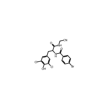 N#CCNC(=O)C(Cc1cc(Cl)c(O)c(Cl)c1)NC(=O)c1ccc(Br)cc1